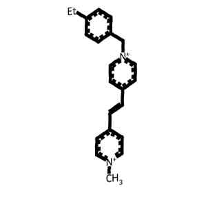 CCc1ccc(C[n+]2ccc(C=Cc3cc[n+](C)cc3)cc2)cc1